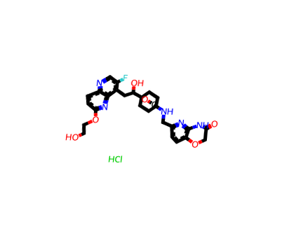 Cl.O=C1COc2ccc(CNC34CCC(C(O)Cc5c(F)cnc6ccc(OCCO)nc56)(CC3)OC4)nc2N1